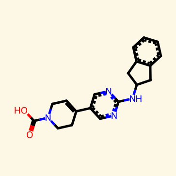 O=C(O)N1CC=C(c2cnc(NC3Cc4ccccc4C3)nc2)CC1